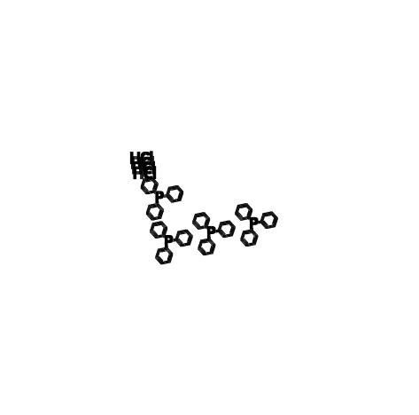 Cl.Cl.Cl.Cl.c1ccc(P(c2ccccc2)c2ccccc2)cc1.c1ccc(P(c2ccccc2)c2ccccc2)cc1.c1ccc(P(c2ccccc2)c2ccccc2)cc1.c1ccc(P(c2ccccc2)c2ccccc2)cc1